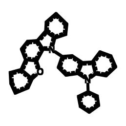 c1ccc(-n2c3ccccc3c3cc(-n4c5ccccc5c5ccc6c7ccccc7oc6c54)ccc32)cc1